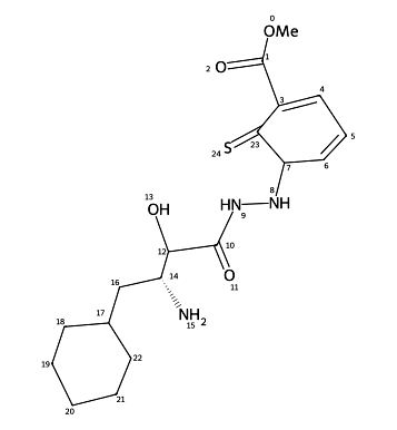 COC(=O)C1=CC=CC(NNC(=O)C(O)[C@H](N)CC2CCCCC2)C1=S